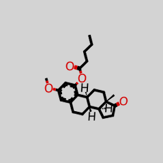 CCCCC(=O)Oc1cc(OC)cc2c1[C@H]1CC[C@]3(C)C(=O)CC[C@H]3[C@@H]1CC2